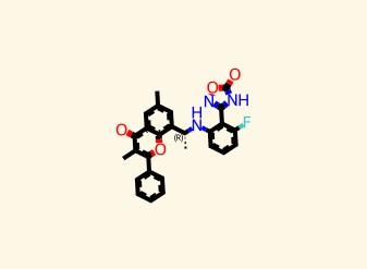 Cc1cc([C@@H](C)Nc2cccc(F)c2-c2noc(=O)[nH]2)c2oc(-c3ccccc3)c(C)c(=O)c2c1